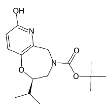 CC(C)[C@@H]1CN(C(=O)OC(C)(C)C)Cc2nc(O)ccc2O1